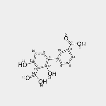 O=C(O)c1cccc(-c2ccc(O)c(C(=O)O)c2O)c1